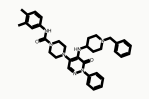 Cc1ccc(NC(=O)N2CCN(c3cnn(-c4ccccc4)c(=O)c3NC3CCN(Cc4ccccc4)CC3)CC2)cc1C